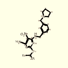 CCC(CC)Oc1nc(N)c([N+](=O)[O-])c(NCc2cccc(CN3CCCC3)c2)n1